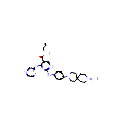 C=CCNC(=O)c1cnc(Nc2ccc(N3CCC4(CCN(C)CC4)CC3)cc2)nc1Nc1cnccn1